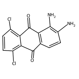 Nc1ccc2c(c1N)C(=O)c1c(Cl)ccc(Cl)c1C2=O